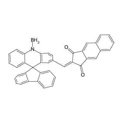 BN1c2ccccc2C2(c3ccccc3-c3ccccc32)c2cc(C=C3C(=O)c4cc5ccccc5cc4C3=O)ccc21